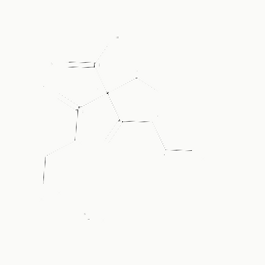 CCCC(=O)C(CC)(C(=O)O)C(=O)CCC.[AlH3]